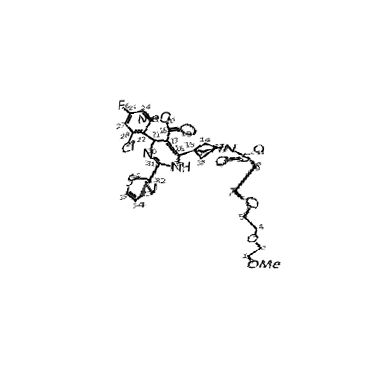 COCCOCCOCCS(=O)(=O)NC12CC(C3=C(C(=O)OC)C(c4ccc(F)cc4Cl)N=C(c4nccs4)N3)(C1)C2